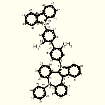 Cc1cc(-n2c3c(c4ccccc42)-c2ccccc2N(c2ccccc2)c2ccccc2-3)ccc1-c1ccc(-n2c3ccccc3c3ccccc32)cc1C